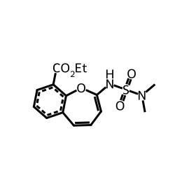 CCOC(=O)c1cccc2c1OC(NS(=O)(=O)N(C)C)=CC=C2